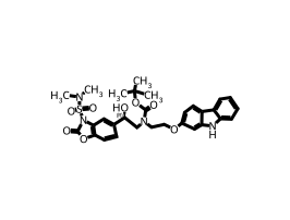 CN(C)S(=O)(=O)n1c(=O)oc2ccc([C@@H](O)CN(CCOc3ccc4c(c3)[nH]c3ccccc34)C(=O)OC(C)(C)C)cc21